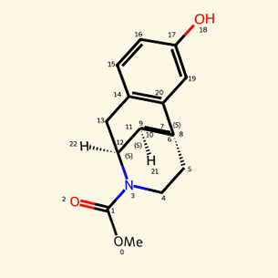 COC(=O)N1CC[C@@]23CCCC[C@@H]2[C@@H]1Cc1ccc(O)cc13